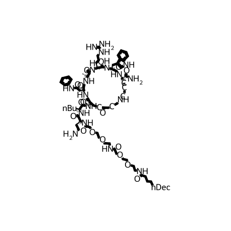 CCCCCCCCCCCCCC(=O)NCCOCCOCC(=O)NCCOCCOCC(=O)N[C@@H](CCN)C(=O)N[C@@H](CCCC)C(=O)N[C@H]1CCC(=O)CCCNCCCC[C@@H](C(N)=O)NC(=O)[C@H](Cc2c[nH]c3ccccc23)NC(=O)[C@H](CCCNC(=N)N)NC(=O)[C@@H](C)NC(=O)[C@H](CC(=O)Nc2ccccc2)NC1=O